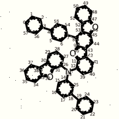 c1ccc(-c2ccc(-c3c4oc5c(N(c6cccc(-c7ccccc7)c6)c6cccc7c6oc6ccccc67)cccc5c4cc4oc5ccccc5c34)cc2)cc1